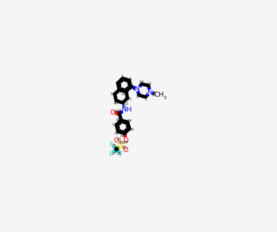 CN1CCN(c2cccc3c2C[C@@H](NC(=O)c2ccc(OS(=O)(=O)C(F)(F)F)cc2)CC3)CC1